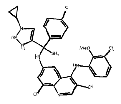 BC(Nc1cc(Cl)c2ncc(C#N)c(Nc3cccc(Cl)c3OC)c2c1)(C1=CN(C2CC2)NN1)c1ccc(F)cc1